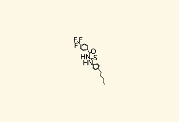 CCCCCc1ccc(NC(=S)NC(=O)c2ccc(C(F)(F)F)cc2)cc1